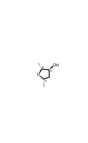 C[C@H]1C[C@H](O)[C@@H](C)O1